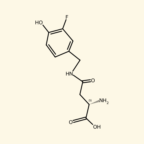 N[C@@H](CC(=O)NCc1ccc(O)c(F)c1)C(=O)O